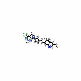 CCc1cnc2cc(CCC3CCC(n4ccc5c(Cl)ncnc54)C3)ccc2c1